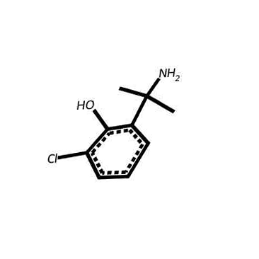 CC(C)(N)c1cccc(Cl)c1O